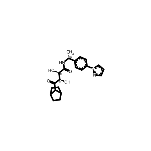 C[C@@H](NC(=O)[C@H](O)[C@@H](O)C(=O)C1C2CCC1CC2)c1ccc(-n2cccn2)cc1